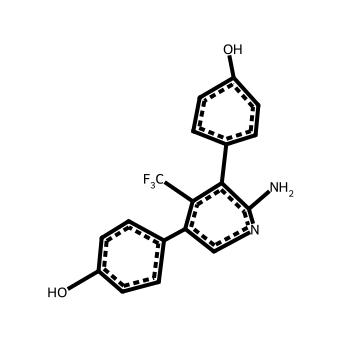 Nc1ncc(-c2ccc(O)cc2)c(C(F)(F)F)c1-c1ccc(O)cc1